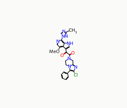 COc1cnc(-n2cnc(C)n2)c2[nH]cc(C(=O)C(=O)N3CCn4c(nc(Cl)c4-c4ccccc4)C3)c12